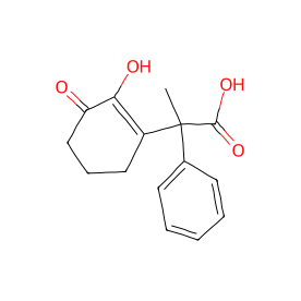 CC(C(=O)O)(C1=C(O)C(=O)CCC1)c1ccccc1